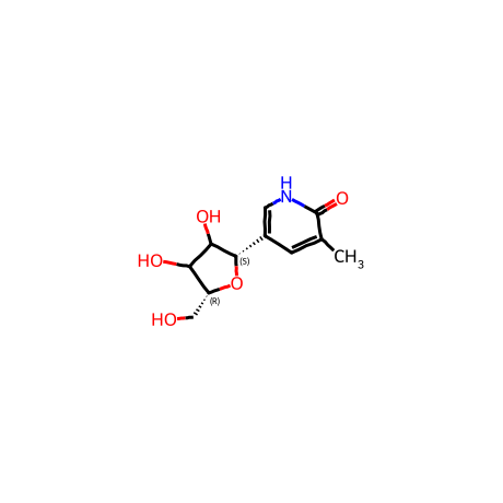 Cc1cc([C@@H]2O[C@H](CO)C(O)C2O)c[nH]c1=O